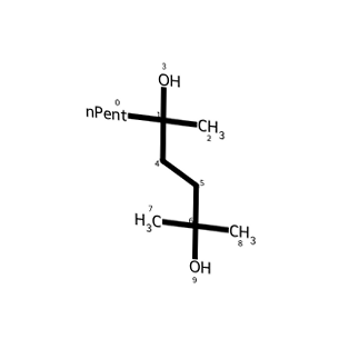 CCCCCC(C)(O)CCC(C)(C)O